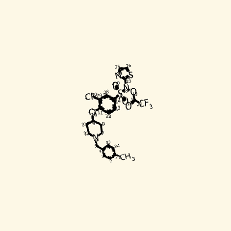 Cc1ccc(CN2CCC(Oc3ccc(S(=O)(=O)N(OC(=O)C(F)(F)F)c4nccs4)cc3Cl)CC2)cc1